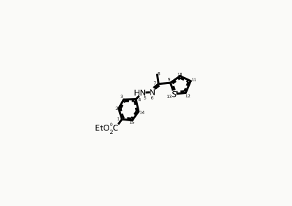 CCOC(=O)c1ccc(N/N=C(\C)c2cccs2)cc1